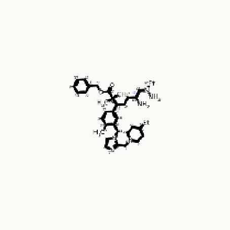 CCC1CCN(Cc2nccn2Cc2cc(C(CC/C(N)=C/N(N)CC)C(C)(C)C(=O)OCc3ccccc3)ccc2C)CC1